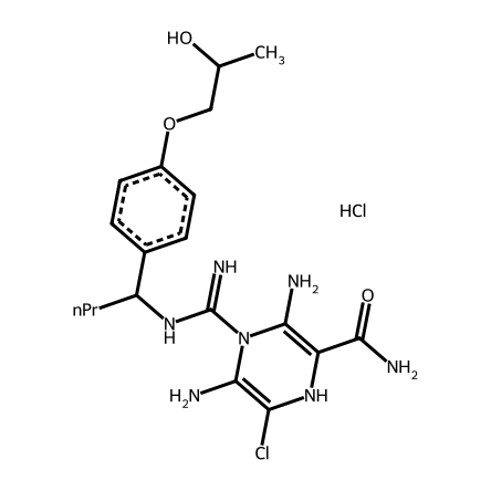 CCCC(NC(=N)N1C(N)=C(Cl)NC(C(N)=O)=C1N)c1ccc(OCC(C)O)cc1.Cl